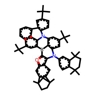 CC(C)(C)c1ccc2c(c1)B1c3oc4cc5c(cc4c3N(c3ccc4c(c3)C(C)(C)CCC4(C)C)c3cc(C(C)(C)C)cc(c31)N2c1ccc(C(C)(C)C)cc1-c1ccccc1)C1(C)CCC5(C)C1